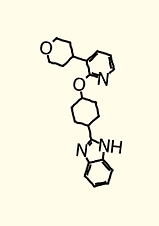 c1cnc(OC2CCC(c3nc4ccccc4[nH]3)CC2)c(C2CCOCC2)c1